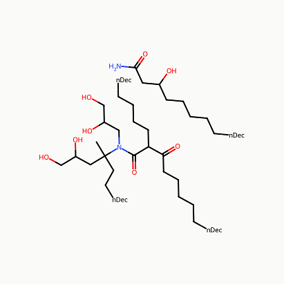 CCCCCCCCCCCCCCCC(=O)C(CCCCCCCCCCCCCC)C(=O)N(CC(O)CO)C(C)(CCCCCCCCCCCC)CC(O)CO.CCCCCCCCCCCCCCCC(O)CC(N)=O